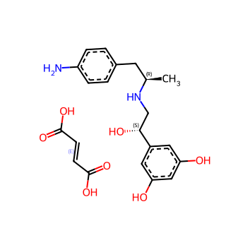 C[C@H](Cc1ccc(N)cc1)NC[C@@H](O)c1cc(O)cc(O)c1.O=C(O)/C=C/C(=O)O